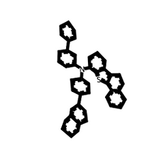 c1ccc(-c2cccc(N(c3ccc(-c4ccc5ccccc5c4)cc3)c3cccc4c3sc3c5ccccc5ccc43)c2)cc1